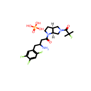 CC(C)(F)C(=O)N1C[C@@H]2CCN(C(=O)CC(N)Cc3cc(F)c(F)cc3F)[C@@H]2C1.O=P(O)(O)O